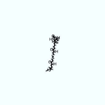 CCOC(C)(C)CCNC(=O)CCSSCCNC(=O)CCCC[C@@H]1SC[C@@H]2NC(=O)N[C@@H]21